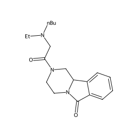 CCCCN(CC)CC(=O)N1CCN2C(=O)c3ccccc3C2C1